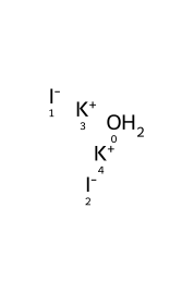 O.[I-].[I-].[K+].[K+]